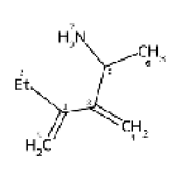 C=C(CC)C(=C)C(C)N